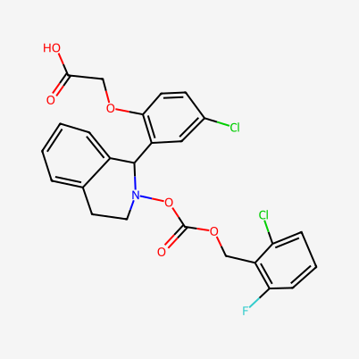 O=C(O)COc1ccc(Cl)cc1C1c2ccccc2CCN1OC(=O)OCc1c(F)cccc1Cl